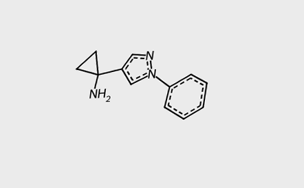 NC1(c2cnn(-c3ccccc3)c2)CC1